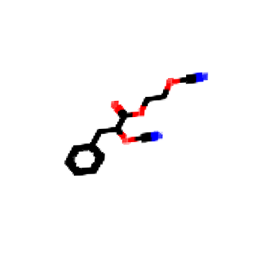 N#COCCOC(=O)C(Cc1ccccc1)OC#N